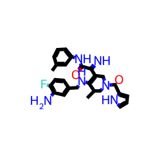 Cc1cccc(NC(=O)C(=N)C2=C(NCc3ccc(F)c(N)c3)C(C)CN(C(=O)c3ccc[nH]3)C2)c1